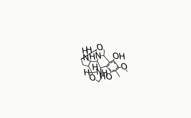 COc1c(C)c(O)c2c(c1O)C1CO[C@@H]3C4CC5[C@@H](N4)[C@H]([C@@H]2N2CCO[C@H]52)N13